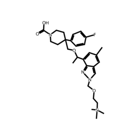 Cc1cc(C(C)OCC2(c3ccc(F)cc3)CCN(C(=O)O)CC2)c2nn(COCC[Si](C)(C)C)cc2c1